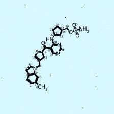 Cc1ccc2ccn(CC3=CSC(C(=O)c4cncnc4N[C@H]4CC[C@@H](COS(N)(=O)=O)C4)C3)c2c1